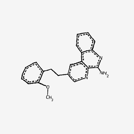 COc1ccccc1CCc1cnc2c(N)nc3ccccc3c2c1